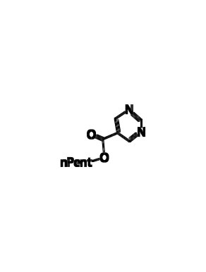 CCCCCOC(=O)c1cncnc1